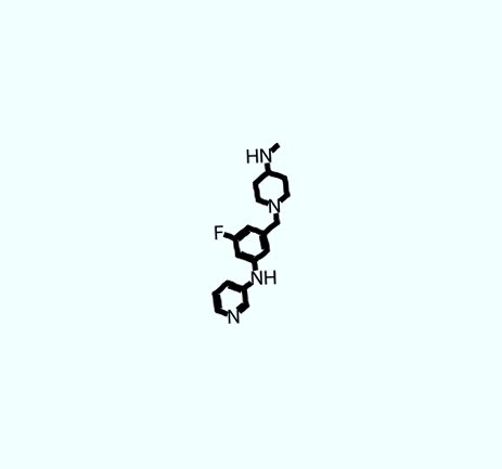 CNC1CCN(Cc2cc(F)cc(Nc3cccnc3)c2)CC1